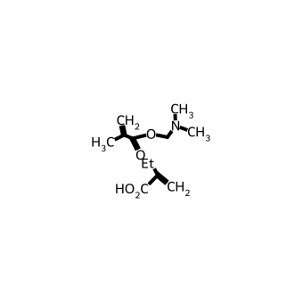 C=C(C)C(=O)OCN(C)C.C=C(CC)C(=O)O